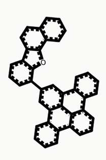 c1ccc2c(c1)ccc1c3cccc(-c4cc5c6ccccc6c6cccc7c8ccccc8c(c4)c5c67)c3oc21